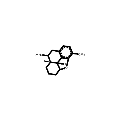 CNC1Cc2ccc(OC)c3c2C2(C)[C@@H]1CCC[C@H]2O3